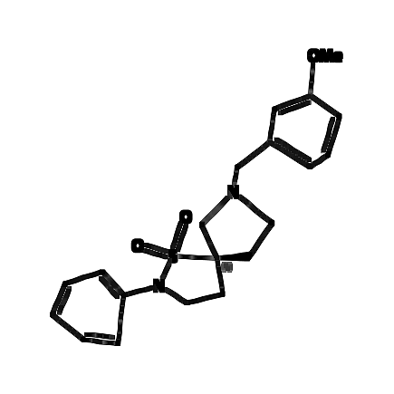 COc1cccc(CN2CC[C@]3(CCN(c4ccccc4)S3(=O)=O)C2)c1